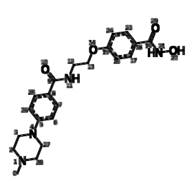 CN1CCN(c2ccc(C(=O)NCCOc3ccc(C(=O)NO)cc3)cc2)CC1